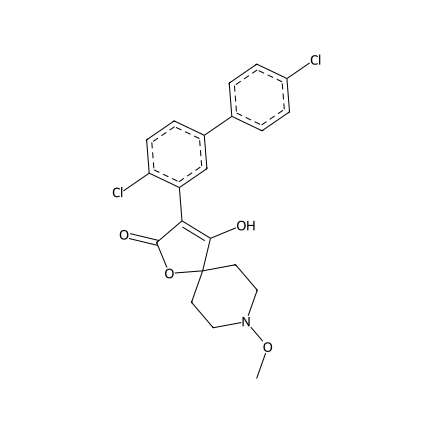 CON1CCC2(CC1)OC(=O)C(c1cc(-c3ccc(Cl)cc3)ccc1Cl)=C2O